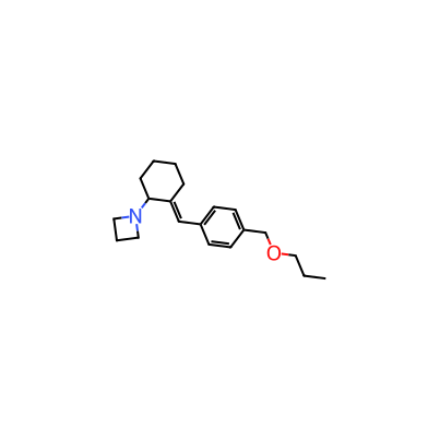 CCCOCc1ccc(C=C2CCCCC2N2CCC2)cc1